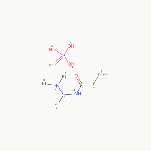 CCCCCCCCCCCC(=O)NC(CC)N(CC)CC.O=P(O)(O)O